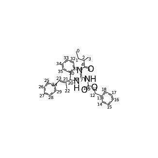 CCC(C)C(=O)/N=C(\NC(=O)OCc1ccccc1)NC(/C(C)=C/c1ccccc1)c1ccccc1